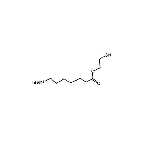 CCCCCCCCCCCCCC(=O)OCCS